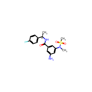 C[C@@H](NC(=O)c1cc(N)cc(N(C)S(C)(=O)=O)c1)c1ccc(F)cc1